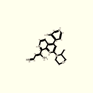 CC1COCCN1c1cc(-c2ccncc2F)c2ccnc(/C(N)=C/C=N)c2n1